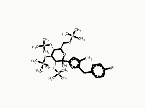 CCCc1ccc(Cc2sc(C3(O)O[C@H](CO[Si](C)(C)C)[C@@H](O[Si](C)(C)C)[C@H](O[Si](C)(C)C)[C@H]3O[Si](C)(C)C)cc2C)cc1